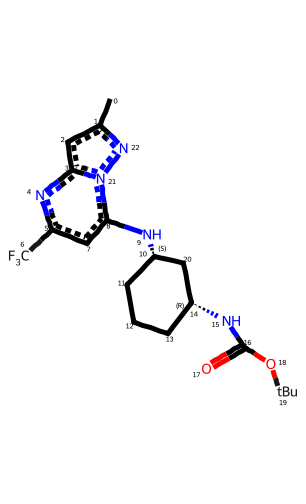 Cc1cc2nc(C(F)(F)F)cc(N[C@H]3CCC[C@@H](NC(=O)OC(C)(C)C)C3)n2n1